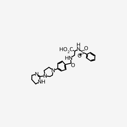 O=C(NC[C@H](NS(=O)(=O)c1ccccc1)C(=O)O)c1ccc(N2CCN(C3=NCCCN3)CC2)cc1